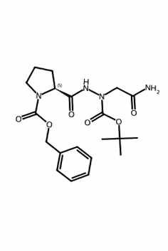 CC(C)(C)OC(=O)N(CC(N)=O)NC(=O)[C@@H]1CCCN1C(=O)OCc1ccccc1